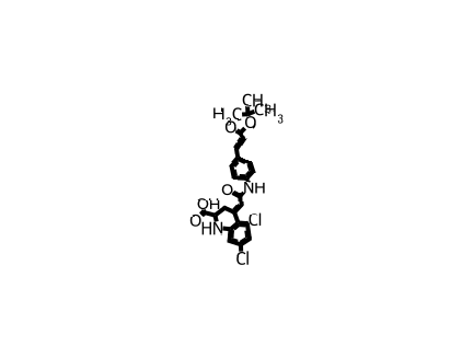 CC(C)(C)OC(=O)C=Cc1ccc(NC(=O)C=C2CC(C(=O)O)Nc3cc(Cl)cc(Cl)c32)cc1